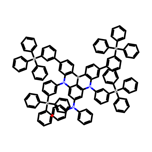 c1ccc(N(c2ccccc2)c2cc3c4c(c2)N(c2cccc([Si](c5ccccc5)(c5ccccc5)c5ccccc5)c2)c2cc(-c5cccc([Si](c6ccccc6)(c6ccccc6)c6ccccc6)c5)ccc2B4c2ccc(-c4cccc([Si](c5ccccc5)(c5ccccc5)c5ccccc5)c4)cc2N3c2cccc([Si](c3ccccc3)(c3ccccc3)c3ccccc3)c2)cc1